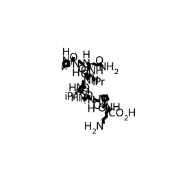 CC(C)C[C@H](NC(=O)CNC(=O)[C@H](CC(C)C)NC(=O)[C@H](CCC(N)=O)NC(=O)CNC(=O)[C@@H]1C[C@@H](C)CN1)C(=O)N[C@@H](C)C(=O)NCC(=O)N1CCC[C@H]1C(=O)N[C@@H](CCCCN)C(=O)O